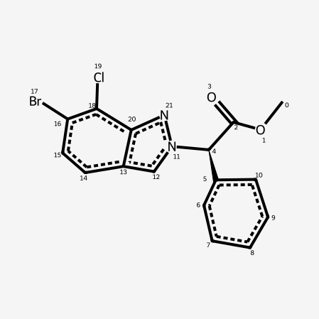 COC(=O)[C@@H](c1ccccc1)n1cc2ccc(Br)c(Cl)c2n1